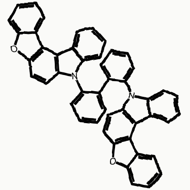 c1ccc(-n2c3ccccc3c3c4c(ccc32)oc2ccccc24)c(-c2ccccc2-n2c3ccccc3c3c4c(ccc32)oc2ccccc24)c1